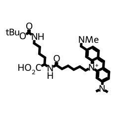 CNCc1ccc2cc3ccc(N(C)C)cc3[n+](CCCCCC(=O)NC(CCCCNC(=O)OC(C)(C)C)C(=O)O)c2c1